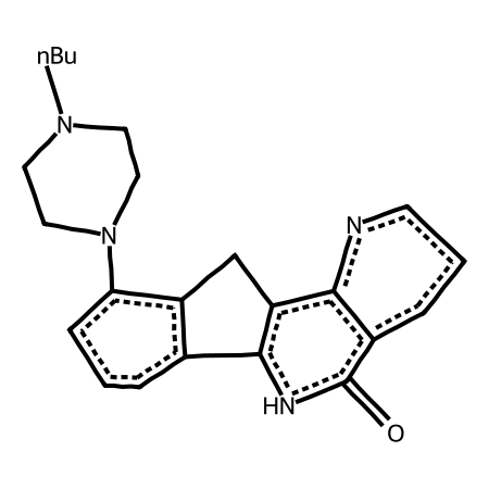 CCCCN1CCN(c2cccc3c2Cc2c-3[nH]c(=O)c3cccnc23)CC1